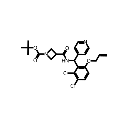 C=CCOc1ccc(Cl)c(Cl)c1C(NC(=O)C1CN(C(=O)OC(C)(C)C)C1)c1ccncc1